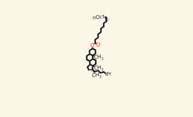 CCCCCCCC/C=C\CCCCCCCC(=O)OC1CC[C@@]2(C)C(CCC3C2CC[C@@]2(C)C3CC[C@@H]2[C@H](C)CCCC(C)C)C1